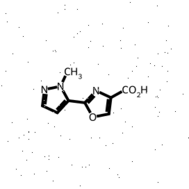 Cn1nccc1-c1nc(C(=O)O)co1